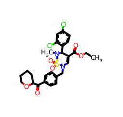 CCOC(=O)C1=CN(Cc2ccc(C(=O)C3CCCCO3)cc2)S(=O)(=O)N(C)C1c1ccc(Cl)cc1Cl